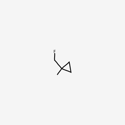 CC1(CF)CC1